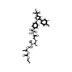 CCOC(=O)OC(C)ON=[N+]([O-])N(C)CCC(=O)NS(=O)(=O)c1ccc(-n2nc(C(F)(F)F)cc2-c2ccc(C)cc2)cc1